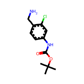 CC(C)(C)OC(=O)Nc1ccc(CN)c(Cl)c1